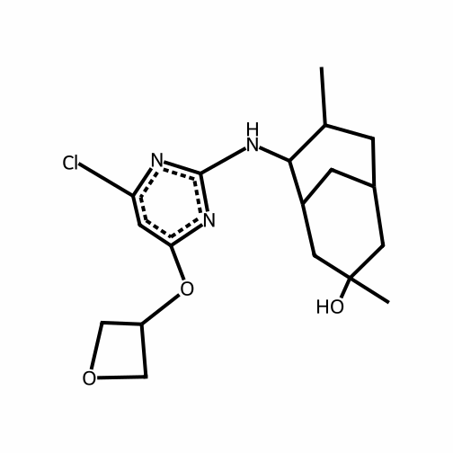 CC1CC2CC(CC(C)(O)C2)C1Nc1nc(Cl)cc(OC2COC2)n1